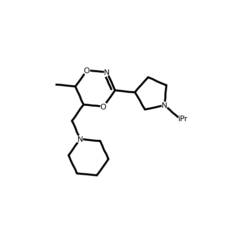 CC1ON=C(C2CCN(C(C)C)C2)OC1CN1CCCCC1